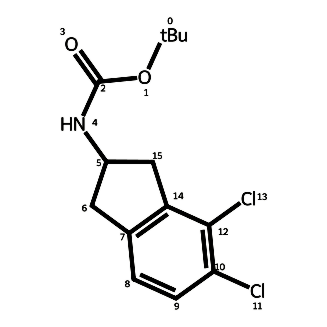 CC(C)(C)OC(=O)NC1Cc2ccc(Cl)c(Cl)c2C1